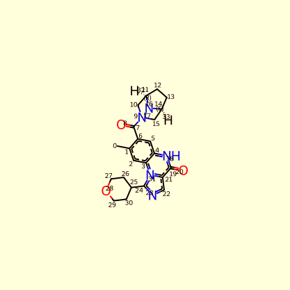 Cc1cc2c(cc1C(=O)N1C[C@H]3CC[C@@H](C1)N3C)[nH]c(=O)c1cnc(C3CCOCC3)n12